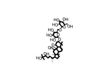 C[C@H](CC[C@@H](O)C(C)(C)O)C1CC[C@@]2(C)C3CC=C4C(CC[C@H](O[C@@H]5O[C@H](CO[C@@H]6O[C@H](CO)[C@@H](O)[C@H](O)[C@H]6O)[C@@H](O)[C@H](O)[C@H]5O)C4(C)C)[C@]3(C)[C@H]([N+](=O)[O-])C[C@]12C